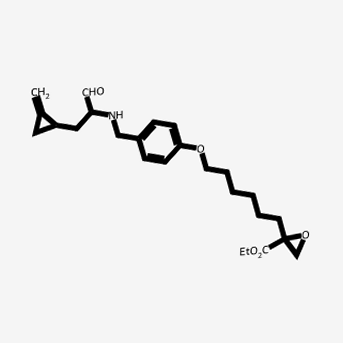 C=C1CC1CC(C=O)NCc1ccc(OCCCCCCC2(C(=O)OCC)CO2)cc1